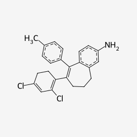 Cc1ccc(C2=C(C3=C(Cl)C=C(Cl)CC3)CCCc3cc(N)ccc32)cc1